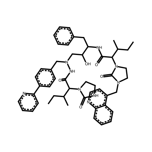 CCC(C)C(C(=O)NN(Cc1ccc(-c2ccccn2)cc1)CC(O)C(Cc1ccccc1)NC(=O)C(C(C)CC)N1CCN(Cc2ccnc3ccccc23)C1=O)N1CCNC1=O